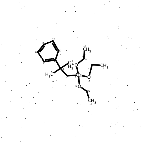 CC[O][Zr]([CH2]C(C)(C)c1ccccc1)([O]CC)[O]CC